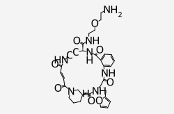 NCCOCCNC(=O)[C@@H]1CCNC(=O)/C=C/C(=O)N2CCC[C@H](C2)C(=O)N[C@@H](Cc2ccco2)C(=O)Nc2ccccc2C(=O)N1